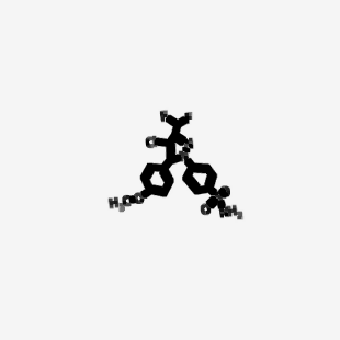 COc1ccc(-c2c(Cl)c(C(F)F)nn2-c2ccc(S(N)(=O)=O)cc2)cc1